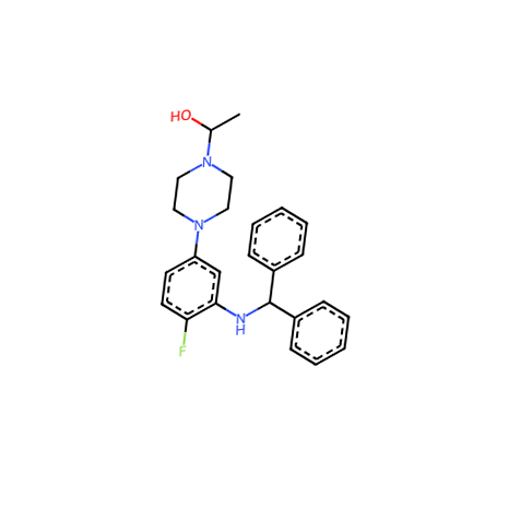 CC(O)N1CCN(c2ccc(F)c(NC(c3ccccc3)c3ccccc3)c2)CC1